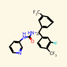 O=C(Nc1cccnc1)N[C@H](c1cccc(C(F)(F)F)c1)c1ccc(C(F)(F)F)c(F)c1